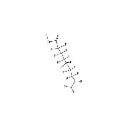 O=C(OF)C(F)(F)C(F)(F)C(F)(F)C(F)(F)C(F)(F)C(F)(F)C(F)C(F)F